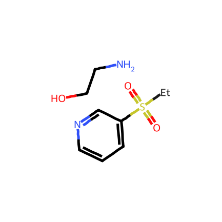 CCS(=O)(=O)c1cccnc1.NCCO